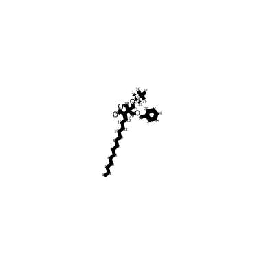 CCCCCCCCCCCCCC=C1C(=O)OCC1(COCc1ccccc1)CO[Si](C)(C)C(C)(C)C